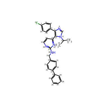 Fc1ccc(-c2ncn(C(C(F)(F)F)C(F)(F)F)c2-c2ccnc(NCc3ccc(-c4ccccc4)cc3)n2)cc1